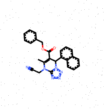 CC1=C(C(=O)OCc2ccccc2)C(c2cccc3ccccc23)n2nnnc2N1CC#N